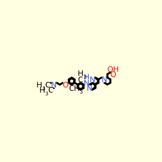 CCN(CC)CCCOc1cccc(-c2cccc(Nc3nccc4cc(CN5CCCCC5CC(=O)O)cnc34)c2C)c1C